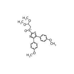 COc1ccc(-c2nc([S+]([O-])CC(OC)OC)sc2-c2ccc(OC)cc2)cc1